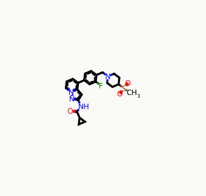 CS(=O)(=O)C1CCN(Cc2ccc(-c3cccn4nc(NC(=O)C5CC5)cc34)cc2F)CC1